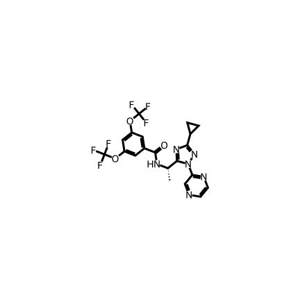 C[C@H](NC(=O)c1cc(OC(F)(F)F)cc(OC(F)(F)F)c1)c1nc(C2CC2)nn1-c1cnccn1